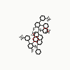 C[Si](C)(C)c1cccc(-c2ccc(F)c(N(c3ccccc3)c3ccc4ccc5c(N(c6ccccc6)c6c(F)ccc(-c7cccc([Si](C)(C)C)c7)c6-c6cccc([Si](C)(C)C)c6)ccc6ccc3c4c65)c2-c2cccc([Si](C)(C)C)c2)c1